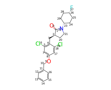 O=C1[C@H](Cc2c(Cl)cc(OCc3ccccc3)cc2Cl)CCN1[C@H]1CC[C@@H](F)CC1